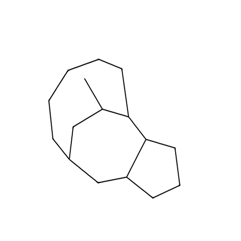 CC1CC2CCCCCC1C1CCCC1C2